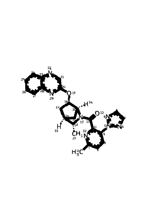 Cc1ccc(-n2nccn2)c(C(=O)N2[C@H](C)[C@H]3C[C@@H](Oc4cnc5ccccc5n4)[C@@H]2C3)n1